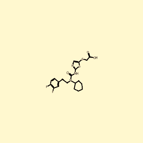 O=C(O)CSc1cnc(NC(=O)N(CCc2ccc(F)c(F)c2)C2CCCCC2)s1